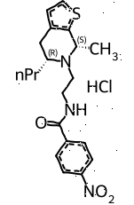 CCC[C@@H]1Cc2ccsc2[C@H](C)N1CCNC(=O)c1ccc([N+](=O)[O-])cc1.Cl